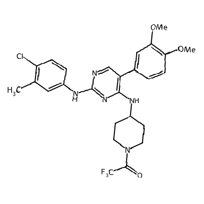 COc1ccc(-c2cnc(Nc3ccc(Cl)c(C)c3)nc2NC2CCN(C(=O)C(F)(F)F)CC2)cc1OC